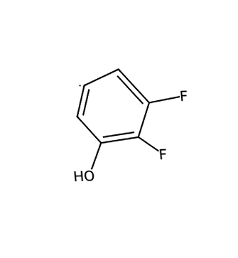 Oc1c[c]cc(F)c1F